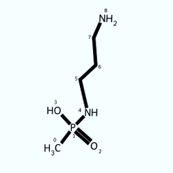 CP(=O)(O)NCCCN